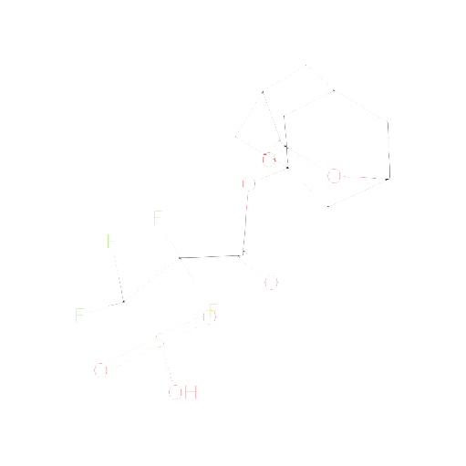 O=C1OC2CC3CC1CC(OC(=O)C(F)(F)C(F)(F)S(=O)(=O)O)(C3)C2